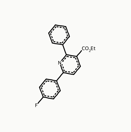 CCOC(=O)c1ccc(-c2ccc(F)cc2)nc1-c1ccccc1